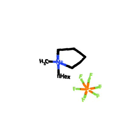 CCCCCC[N+]1(C)CCCC1.F[P-](F)(F)(F)(F)F